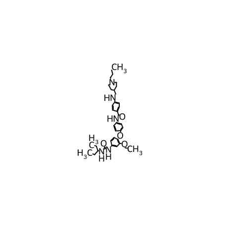 CCCCN1CCC(CNc2ccc(C(=O)Nc3ccc(Oc4ccc(NC(=O)NC(CC)CC)cc4OCC)cc3)cc2)CC1